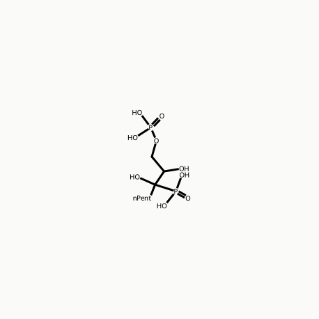 CCCCCC(O)(C(O)COP(=O)(O)O)P(=O)(O)O